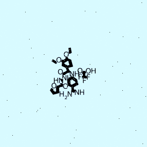 CCOc1ccc(C(Nc2ccc(C(=N)N)cc2)C(=O)NNC(=O)c2ccco2)cc1OCC.O=C(O)C(F)(F)F